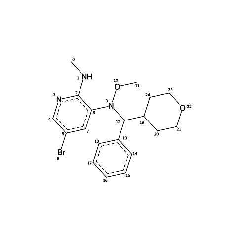 CNc1ncc(Br)cc1N(OC)C(c1ccccc1)C1CCOCC1